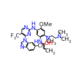 C=CC(O)Nc1cc(Nc2ncc(C(F)(F)F)c(-n3cnc4ccc(C#N)cc43)n2)c(OC)cc1N(C)CCN(C)C